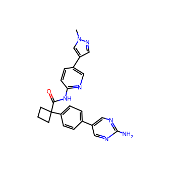 Cn1cc(-c2ccc(NC(=O)C3(c4ccc(-c5cnc(N)nc5)cc4)CCC3)nc2)cn1